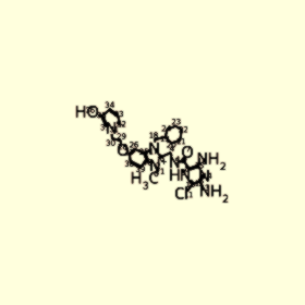 CC[n+]1c(CNC(=O)c2nc(Cl)c(N)nc2N)n(CC2CCCCC2)c2cc(OCC[n+]3cccc(O)c3)ccc21